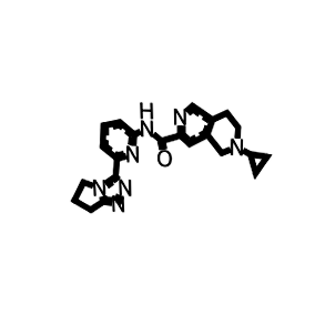 O=C(Nc1cccc(-c2nnc3n2CCC3)n1)c1cc2c(cn1)CCN(C1CC1)C2